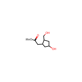 COC(=O)CC1CC(O)CC1CO